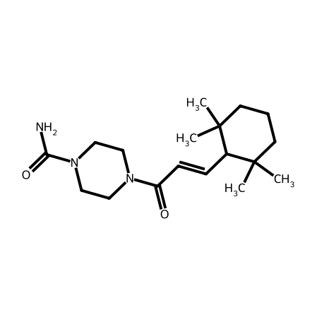 CC1(C)CCCC(C)(C)C1/C=C/C(=O)N1CCN(C(N)=O)CC1